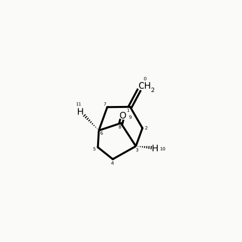 C=C1C[C@H]2CC[C@@H](C1)C2=O